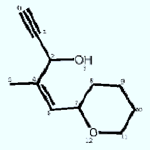 C#CC(O)C(C)=CC1CCCCO1